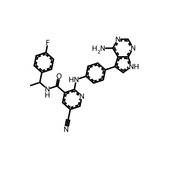 CC(NC(=O)c1cc(C#N)cnc1Nc1ccc(-c2c[nH]c3ncnc(N)c23)cc1)c1ccc(F)cc1